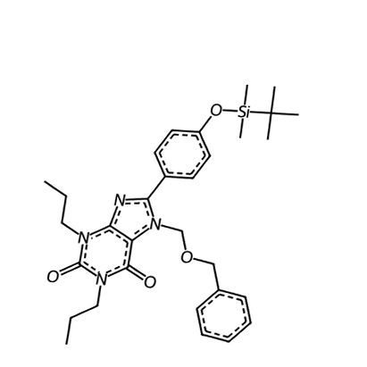 CCCn1c(=O)c2c(nc(-c3ccc(O[Si](C)(C)C(C)(C)C)cc3)n2COCc2ccccc2)n(CCC)c1=O